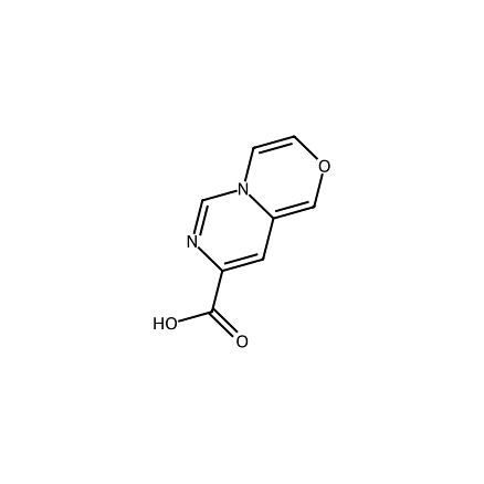 O=C(O)C1=CC2=COC=CN2C=N1